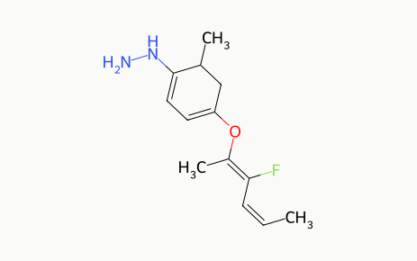 C/C=C\C(F)=C(/C)OC1=CC=C(NN)C(C)C1